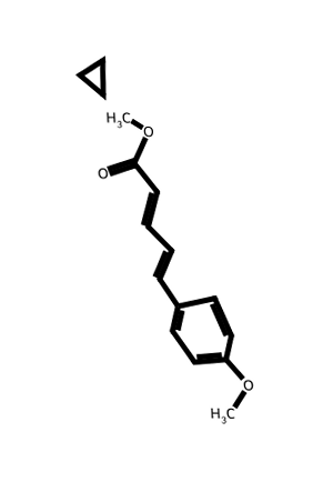 C1CC1.COC(=O)C=CC=Cc1ccc(OC)cc1